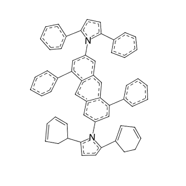 C1=CCCC(c2ccc(C3C=CC=CC3)n2-c2cc(-c3ccccc3)c3cc4cc(-n5c(-c6ccccc6)ccc5-c5ccccc5)cc(-c5ccccc5)c4cc3c2)=C1